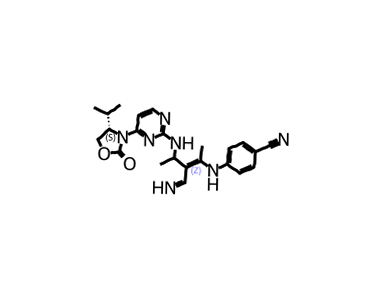 C/C(Nc1ccc(C#N)cc1)=C(/C=N)C(C)Nc1nccc(N2C(=O)OC[C@@H]2C(C)C)n1